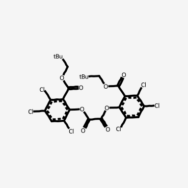 CC(C)(C)COC(=O)c1c(Cl)c(Cl)cc(Cl)c1OC(=O)C(=O)Oc1c(Cl)cc(Cl)c(Cl)c1C(=O)OCC(C)(C)C